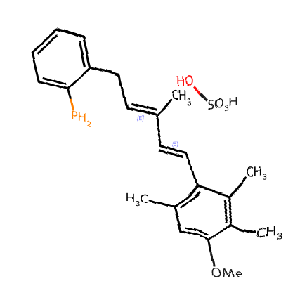 COc1cc(C)c(/C=C/C(C)=C/Cc2ccccc2P)c(C)c1C.O=S(=O)(O)O